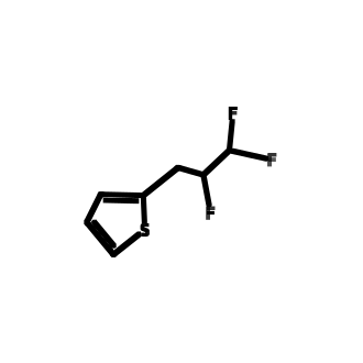 FC(F)C(F)Cc1cccs1